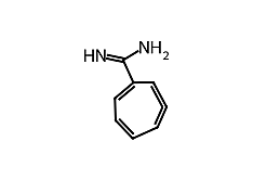 N=C(N)C1=CC=CC=C=C1